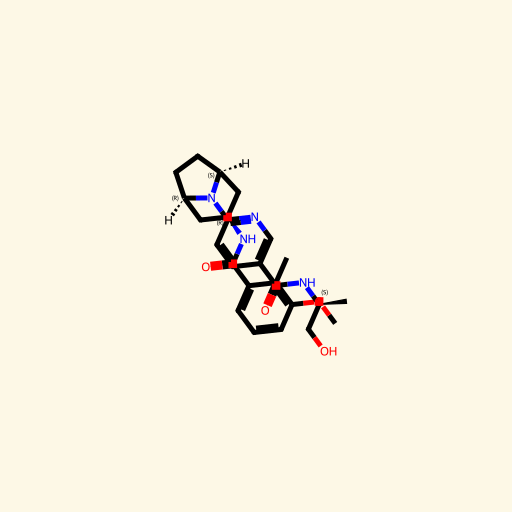 COc1cccc(C(=O)N[C@H]2C[C@H]3CC[C@@H](C2)N3c2ccc(C(=O)N[C@@H](C)CO)cn2)c1C